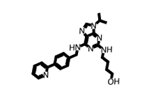 CC(C)n1cnc2c(NCc3ccc(-c4ccccn4)cc3)nc(NCCCCO)nc21